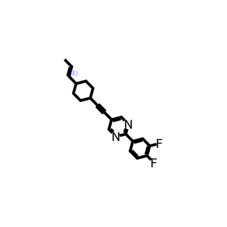 C/C=C/C1CCC(C#Cc2cnc(-c3ccc(F)c(F)c3)nc2)CC1